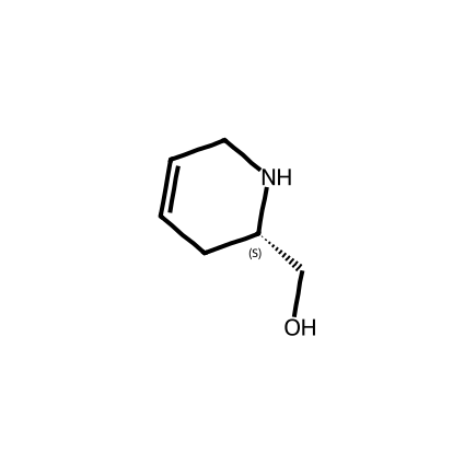 OC[C@@H]1CC=CCN1